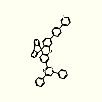 c1ccc(-c2cc(-c3ccccc3)nc(-c3ccc4c(c3)Oc3cc(-c5ccc(-c6cccnc6)cc5)ccc3C43c4ccccc4-c4ccccc43)n2)cc1